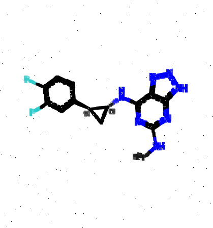 CCCNc1nc(N[C@@H]2C[C@H]2c2ccc(F)c(F)c2)c2nn[nH]c2n1